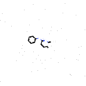 C=C/C=C\C(=N/C=C)Nc1ccccc1